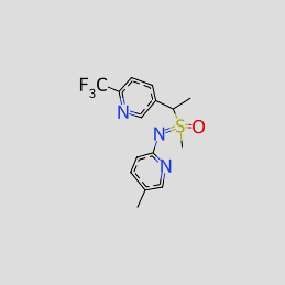 Cc1ccc(N=S(C)(=O)C(C)c2ccc(C(F)(F)F)nc2)nc1